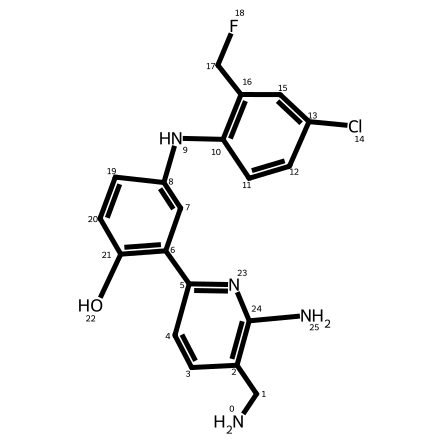 NCc1ccc(-c2cc(Nc3ccc(Cl)cc3CF)ccc2O)nc1N